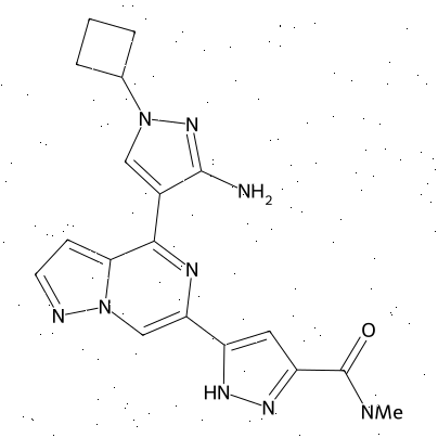 CNC(=O)c1cc(-c2cn3nccc3c(-c3cn(C4CCC4)nc3N)n2)[nH]n1